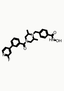 CC1CN(C(=O)c2cccc(-c3ccnc(F)c3)c2)CC(C)N1Cc1ccc(C(=O)NO)cc1